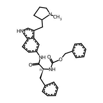 CN1CCCC1Cc1c[nH]c2ccc(NC(=O)[C@H](Cc3ccccc3)NC(=O)OCc3ccccc3)cc12